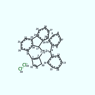 CC1=[C]([Ti+2](=[C](c2ccccc2)c2ccccc2)[CH]2c3ccccc3-c3ccccc32)CC=C1.[Cl-].[Cl-]